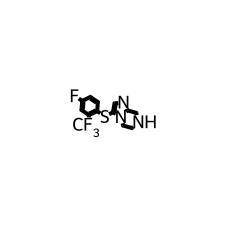 Fc1ccc(Sc2cnc3n2CCNC3)c(C(F)(F)F)c1